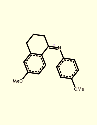 COc1ccc(/N=C2/CCCc3cc(OC)ccc32)cc1